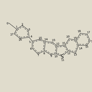 Cc1ccc(-c2ccc3cc4sc5cc6ccccc6cc5c4cc3c2)cc1